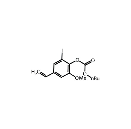 C=Cc1cc(I)c(OC(=O)OCCCC)c(OC)c1